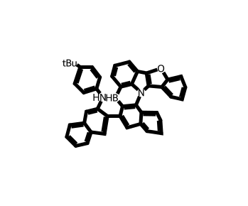 CC(C)(C)c1ccc(Nc2cc3ccccc3cc2-c2cc3ccccc3c3c2Bc2cccc4c5oc6ccccc6c5n-3c24)cc1